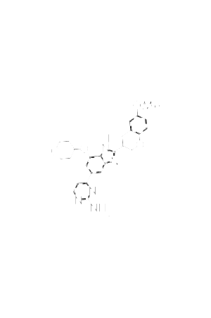 COc1ccc2c(c1)CC(c1nc3cc(-c4ccnc(N)n4)cc(OC4CCOCC4)c3[nH]1)CO2